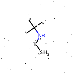 CC(C)(C)[NH][Ti][SiH3]